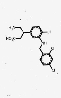 NC[C@H](CC(=O)O)c1ccc(Cl)c(NCc2ccc(Cl)cc2Cl)c1